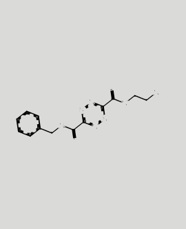 NCCNC(=O)c1nnc(C(=O)NCc2ccccc2)nn1